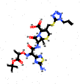 C=CCn1nnnc1SCC1=C(C(=O)O)N2C(=O)C(NC(=O)/C(=N\OC(C)C(=O)OC(C)(C)C)c3nsc(N)n3)[C@H]2SC1